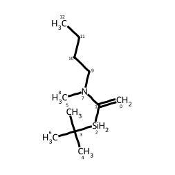 C=C([SiH2]C(C)(C)C)N(C)CCCC